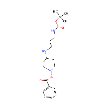 CC(C)(C)OC(=O)NCCCNC1CCN(OC(=O)c2ccccc2)CC1